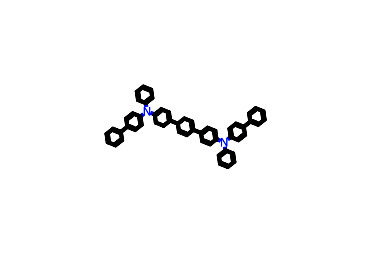 C1=CC(C2=CC=C(N(c3ccccc3)c3ccc(-c4ccccc4)cc3)CC2)CC=C1c1ccc(N(c2ccccc2)c2ccc(-c3ccccc3)cc2)cc1